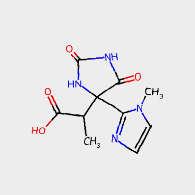 CC(C(=O)O)C1(c2nccn2C)NC(=O)NC1=O